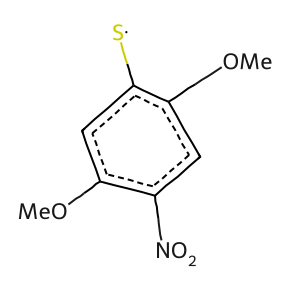 COc1cc([N+](=O)[O-])c(OC)cc1[S]